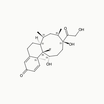 C[C@@H]1C[C@H](C)[C@@H]2CCC3=CC(=O)C=C[C@]3(C)[C@@]2(F)[C@@H](O)CC[C@@]1(O)C(=O)CO